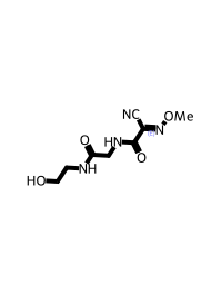 CO/N=C(\C#N)C(=O)NCC(=O)NCCO